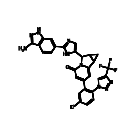 Nc1n[nH]c2cc(-c3ncc(C4C5CC5c5cc(-c6cc(Cl)ccc6-n6cc(C(F)(F)F)nn6)cc(=O)n54)[nH]3)ccc12